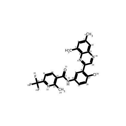 Cc1cc(C)c2nc(-c3cc(NC(=O)c4ccc(C(F)(F)F)nc4C)ccc3Cl)cnc2c1